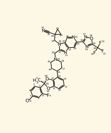 C[C@]1(c2ccc(Cl)cc2F)Oc2cccc(C3CCN(Cc4nc5cc(-c6noc(C(F)(F)F)n6)ncc5n4CC4(C#N)CC4)CC3)c2O1